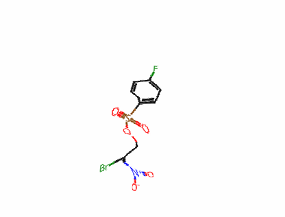 O=[N+]([O-])C(Br)COS(=O)(=O)c1ccc(F)cc1